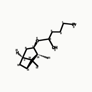 CC(C)CCCC(O)O[C@@H]1C[C@@H]2CC3C2(C)[C@]31C